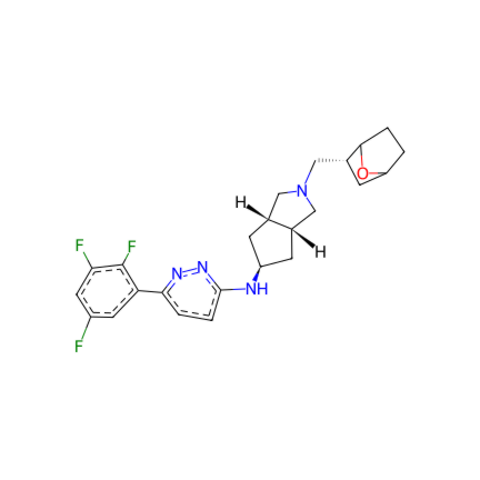 Fc1cc(F)c(F)c(-c2ccc(N[C@H]3C[C@@H]4CN(C[C@H]5CC6CCC5O6)C[C@@H]4C3)nn2)c1